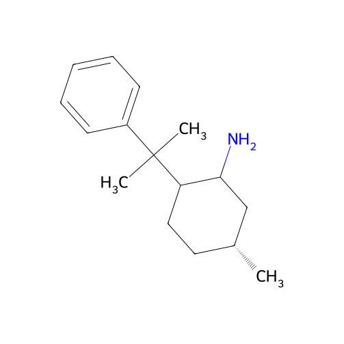 C[C@@H]1CCC(C(C)(C)c2ccccc2)C(N)C1